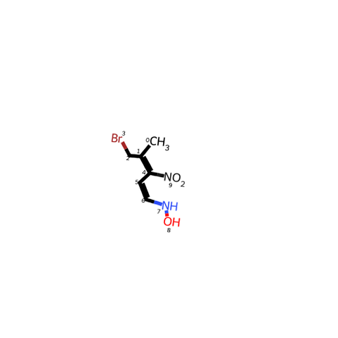 C/C(CBr)=C(/C=C\NO)[N+](=O)[O-]